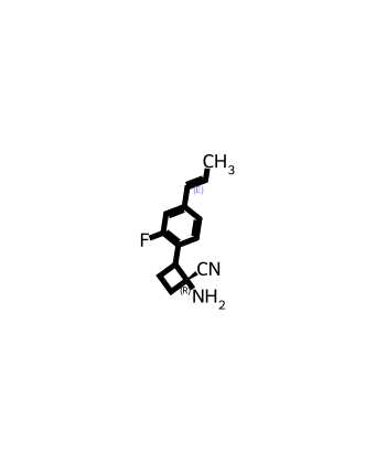 C/C=C/c1ccc(C2CC[C@]2(N)C#N)c(F)c1